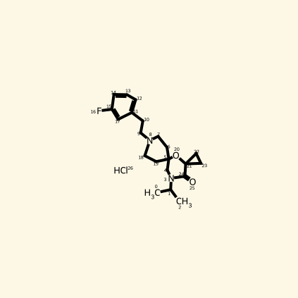 CC(C)N1CC2(CCN(CCc3cccc(F)c3)CC2)OC2(CC2)C1=O.Cl